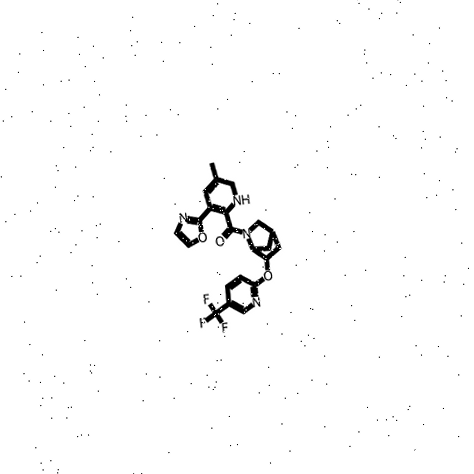 CC1=CC(c2ncco2)=C(C(=O)N2CC3CC(Oc4ccc(C(F)(F)F)cn4)C2C3)NC1